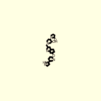 O=C1CCCN1C1CCN(Cc2cnc3cc(Oc4ccc(-c5ccn[nH]5)cn4)ccc3c2)C[C@H]1O